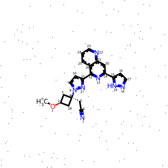 CO[C@H]1C[C@@](CC#N)(n2ccc(-c3nc(-c4ccn[nH]4)cc4ncccc34)n2)C1